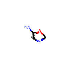 NC1CN=CO1